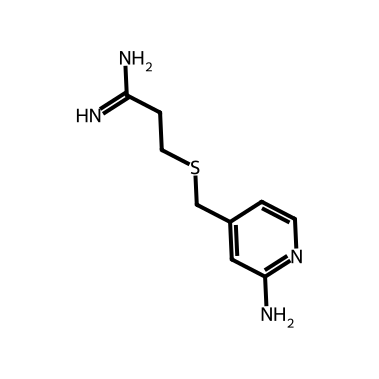 N=C(N)CCSCc1ccnc(N)c1